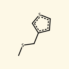 CSCc1ccsc1